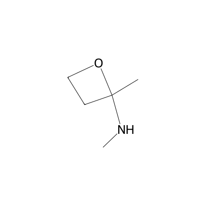 CNC1(C)CCO1